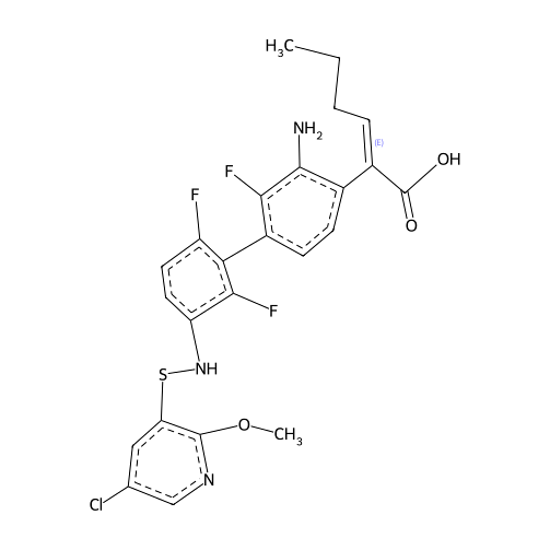 CCC/C=C(/C(=O)O)c1ccc(-c2c(F)ccc(NSc3cc(Cl)cnc3OC)c2F)c(F)c1N